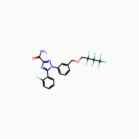 NC(=O)c1nc(-c2ccccc2F)n(-c2cccc(COCC(F)(F)C(F)(F)C(F)(F)F)c2)n1